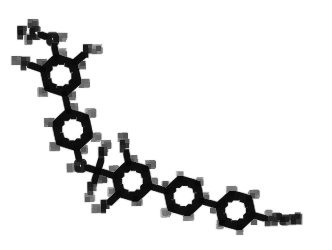 CCCCCc1ccc(-c2ccc(-c3cc(F)c(C(F)(F)Oc4ccc(-c5cc(F)c(OC(F)(F)F)c(F)c5)cc4)c(F)c3)cc2)cc1